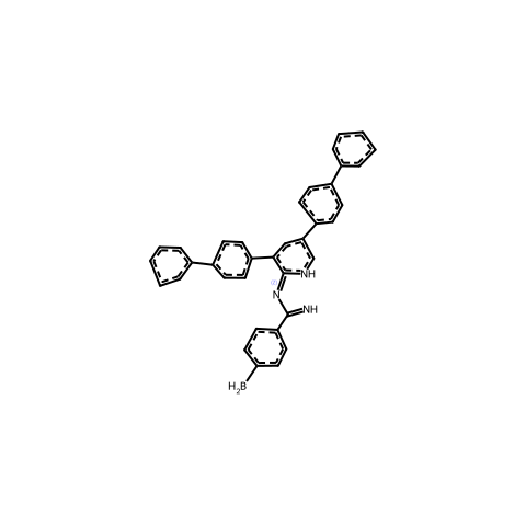 Bc1ccc(C(=N)/N=c2\[nH]cc(-c3ccc(-c4ccccc4)cc3)cc2-c2ccc(-c3ccccc3)cc2)cc1